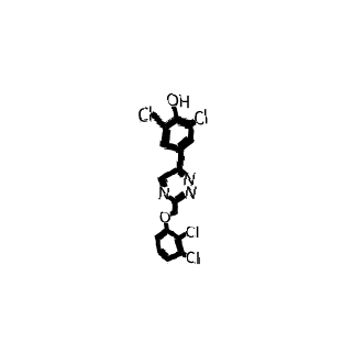 Oc1c(Cl)cc(-c2cnc(COc3cccc(Cl)c3Cl)nn2)cc1Cl